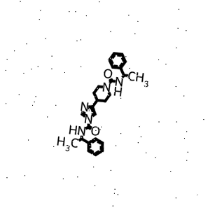 CC(NC(=O)N1CCC(c2cn(C(=O)NC(C)c3ccccc3)cn2)CC1)c1ccccc1